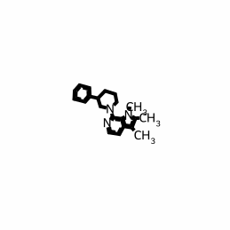 Cc1c(C)n(C)c2c(N3CCCC(c4ccccc4)C3)nccc12